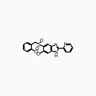 O=S(=O)(Cc1ccccc1Cl)c1cc2nc(-c3ccccn3)[nH]c2cc1Cl